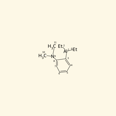 C[CH2][Al]([CH2]C)[c]1ccccc1N(C)C